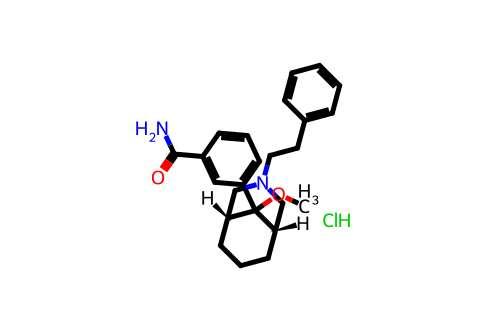 COC1(c2cccc(C(N)=O)c2)[C@@H]2CCC[C@H]1CN(CCc1ccccc1)C2.Cl